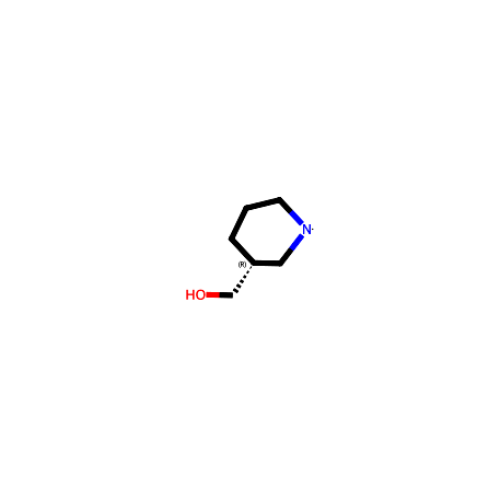 OC[C@@H]1CCC[N]C1